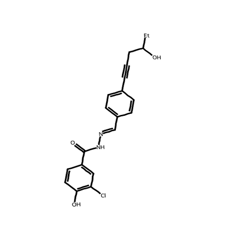 CCC(O)CC#Cc1ccc(/C=N/NC(=O)c2ccc(O)c(Cl)c2)cc1